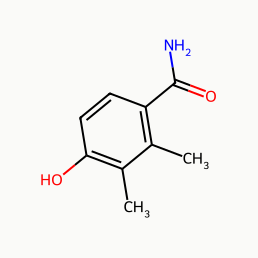 Cc1c(O)ccc(C(N)=O)c1C